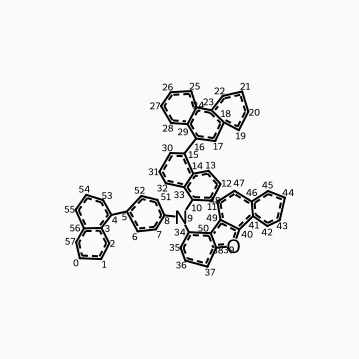 c1ccc2c(-c3ccc(N(c4cccc5c(-c6cc7ccccc7c7ccccc67)cccc45)c4cccc5oc6c7ccccc7ccc6c45)cc3)cccc2c1